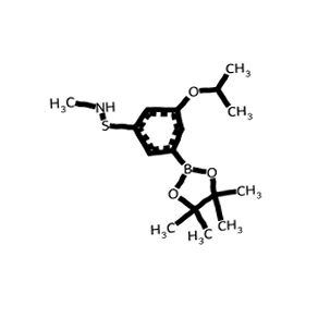 CNSc1cc(OC(C)C)cc(B2OC(C)(C)C(C)(C)O2)c1